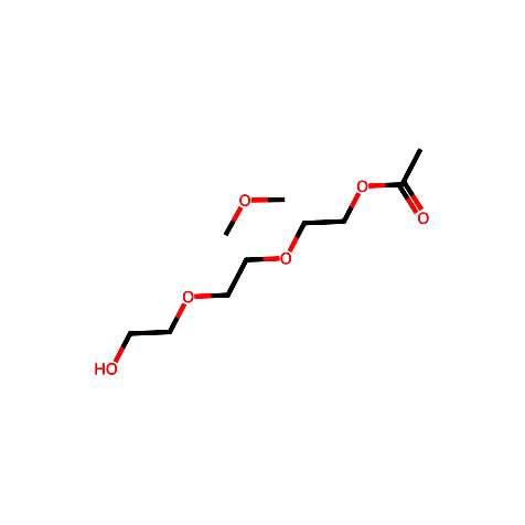 CC(=O)OCCOCCOCCO.COC